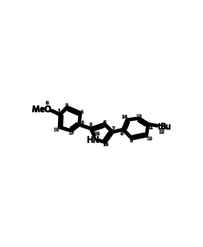 COc1ccc(-c2cc(-c3ccc(C(C)(C)C)cc3)c[nH]2)cc1